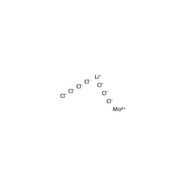 [Cl-].[Cl-].[Cl-].[Cl-].[Cl-].[Cl-].[Cl-].[Li+].[Mo+6]